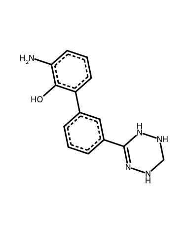 Nc1cccc(-c2cccc(C3=NNCNN3)c2)c1O